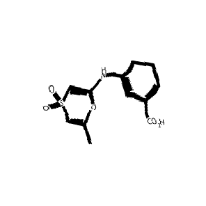 CC1=CS(=O)(=O)C=C(NC2=CC(C(=O)O)=CCC2)O1